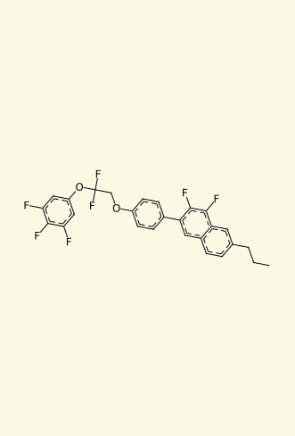 CCCc1ccc2cc(-c3ccc(OCC(F)(F)Oc4cc(F)c(F)c(F)c4)cc3)c(F)c(F)c2c1